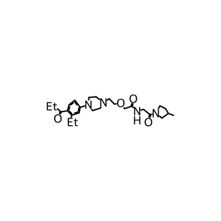 CCC(=O)c1ccc(N2CCN(CCOCC(=O)NCC(=O)N3CCC(C)C3)CC2)cc1CC